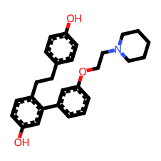 Oc1ccc(CCc2ccc(O)cc2-c2cccc(OCCN3CCCCC3)c2)cc1